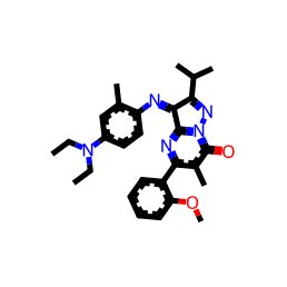 CCN(CC)c1ccc(N=C2C(C(C)C)=Nn3c2nc(-c2ccccc2OC)c(C)c3=O)c(C)c1